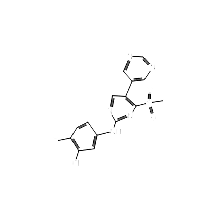 CS(=O)(=O)c1nc(Nc2ccc(F)c(Cl)c2)ncc1-c1cncnc1